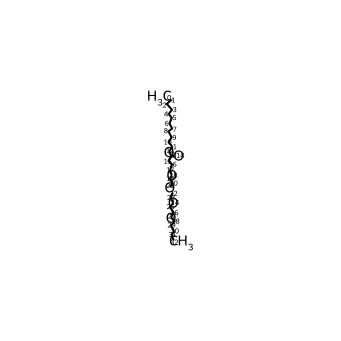 CCCCCCCCCCCCOC(=O)CCCOCCOCCOCCOCCCCC